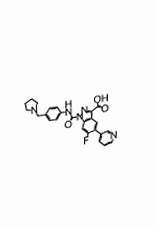 O=C(O)c1nn(C(=O)Nc2ccc(CN3CCCC3)cc2)c2cc(F)c(-c3cccnc3)cc12